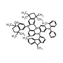 Cc1cc2c3c(c1)N(c1cccc4c1-c1ccccc1C4C)c1cc(N(c4ccccc4)c4ccccc4C)ccc1B3c1cc3c(cc1N2c1ccc2c(c1)C(C)(C)CCC2(C)C)C(C)(C)CCC3(C)C